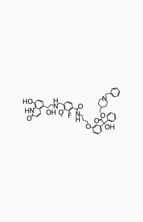 COc1c(CNC[C@H](O)c2ccc(O)c3[nH]c(=O)ccc23)ccc(C(=O)NCCCOc2cccc(C(O)(C(=O)OCC3CCN(Cc4ccccc4)CC3)c3ccccc3)c2)c1F